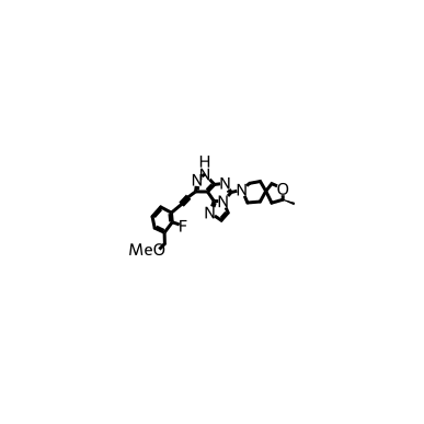 COCc1cccc(C#Cc2n[nH]c3nc(N4CCC5(CC4)CO[C@@H](C)C5)n4ccnc4c23)c1F